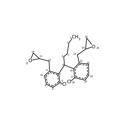 CCCCC(c1c(Cl)cccc1CC1CO1)c1c(Cl)cccc1CC1CO1